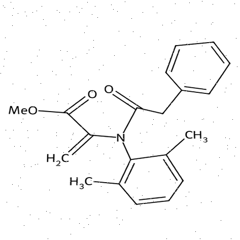 C=C(C(=O)OC)N(C(=O)Cc1ccccc1)c1c(C)cccc1C